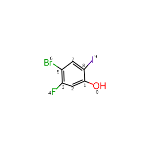 Oc1cc(F)c(Br)cc1I